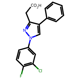 O=C(O)Cc1nn(-c2ccc(F)c(Cl)c2)cc1-c1ccccc1